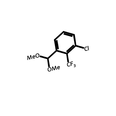 COC(OC)c1cccc(Cl)c1C(F)(F)F